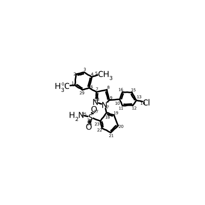 Cc1ccc(C)c(-c2cc(-c3ccc(Cl)cc3)n(-c3ccccc3S(N)(=O)=O)n2)c1